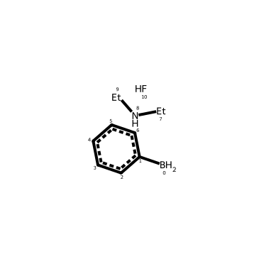 Bc1ccccc1.CCNCC.F